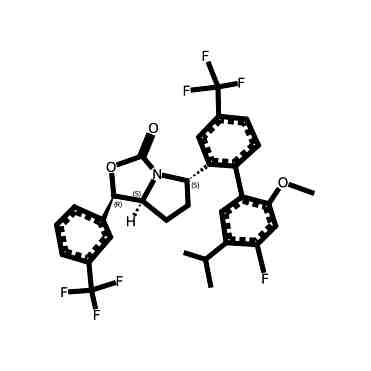 COc1cc(F)c(C(C)C)cc1-c1ccc(C(F)(F)F)cc1[C@@H]1CC[C@H]2[C@@H](c3cccc(C(F)(F)F)c3)OC(=O)N12